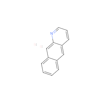 [B].[B].c1ccc2cc3ncccc3cc2c1